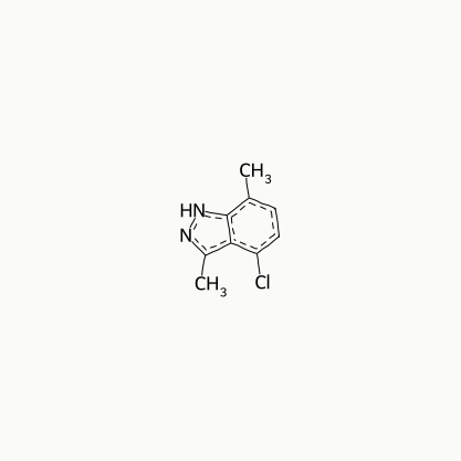 Cc1ccc(Cl)c2c(C)n[nH]c12